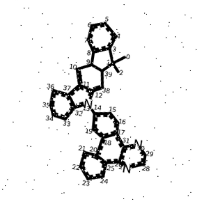 CC1(C)c2ccccc2C2C=c3c(n(-c4ccc5c(c4)c4ccccc4c4nccnc54)c4ccccc34)=CC21